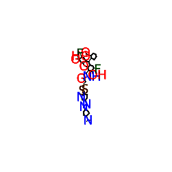 CN(C)c1ccc(N=Nc2ccc(SSCCC(=O)NCc3c(O)c(F)cc4c(-c5ccccc5C(=O)O)c5cc(F)c(=O)cc-5oc34)nc2)cc1